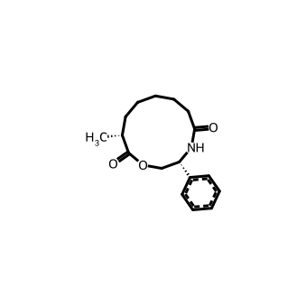 C[C@@H]1CCCCCC(=O)N[C@H](c2ccccc2)COC1=O